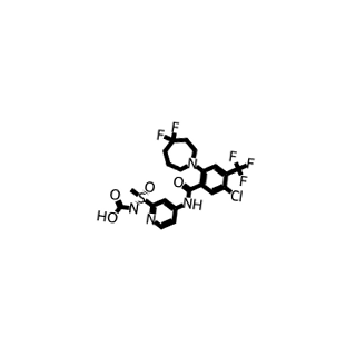 CS(=O)(=NC(=O)O)c1cc(NC(=O)c2cc(Cl)c(C(F)(F)F)cc2N2CCCC(F)(F)CC2)ccn1